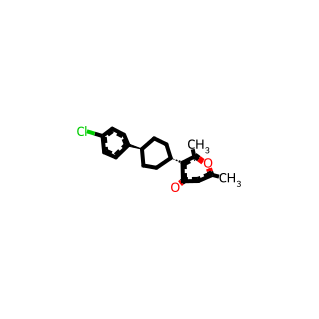 Cc1cc(=O)c([C@H]2CC[C@H](c3ccc(Cl)cc3)CC2)c(C)o1